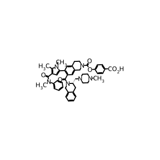 Cc1c(C(=O)N(C)c2ccccc2)cc(-c2cc3c(cc2C(=O)N2Cc4ccccc4C[C@H]2CN2CCN(C)CC2)CN(C(=O)Oc2ccc(C(=O)O)cc2)CC3)n1C